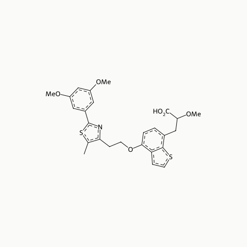 COc1cc(OC)cc(-c2nc(CCOc3ccc(CC(OC)C(=O)O)c4sccc34)c(C)s2)c1